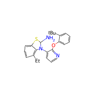 CCc1cccc2c1N(c1cccnc1Oc1ccccc1C(C)(C)C)C(N)S2